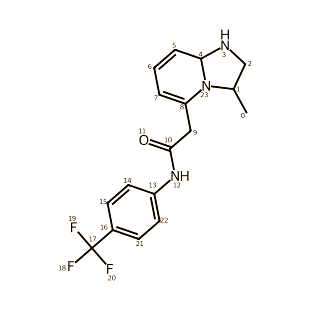 CC1CNC2C=CC=C(CC(=O)Nc3ccc(C(F)(F)F)cc3)N12